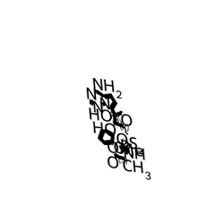 COC(=O)[C@H](C)NP(=S)(OC[C@H]1OC[C@](O)(c2ccc3c(N)ncnn23)[C@@H]1O)Oc1ccccc1